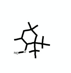 CC1CC(C)(C)CC(C(C)(C)C)(C(C)(C)C)C1OO